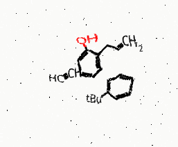 C#C.C=CCc1ccccc1O.CC(C)(C)c1ccccc1